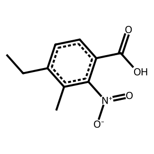 CCc1ccc(C(=O)O)c([N+](=O)[O-])c1C